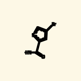 [NH]C(=O)c1cc(Br)cs1